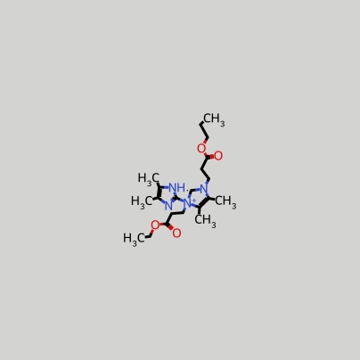 CCCOC(=O)CCN1[CH][N+](CCC(=O)OCC)(c2nc(C)c(C)[nH]2)C(C)=C1C